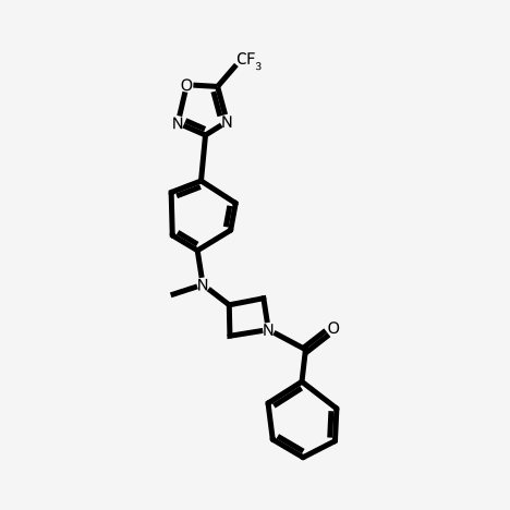 CN(c1ccc(-c2noc(C(F)(F)F)n2)cc1)C1CN(C(=O)c2ccccc2)C1